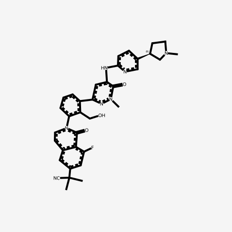 CN1CC[C@H](c2ccc(Nc3cc(-c4cccc(-n5ccc6cc(C(C)(C)C#N)cc(F)c6c5=O)c4CO)nn(C)c3=O)nc2)C1